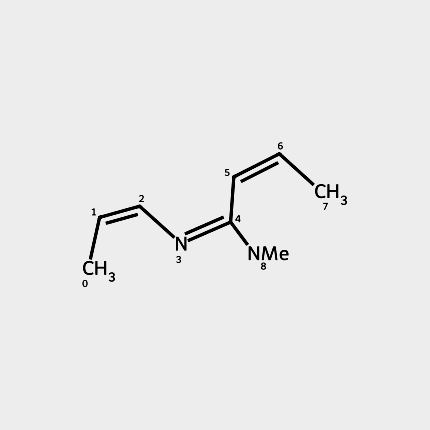 C\C=C/N=C(\C=C/C)NC